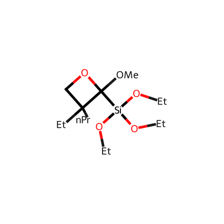 CCCC1(CC)COC1(OC)[Si](OCC)(OCC)OCC